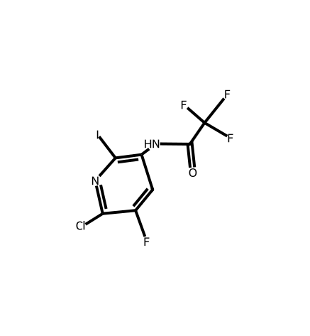 O=C(Nc1cc(F)c(Cl)nc1I)C(F)(F)F